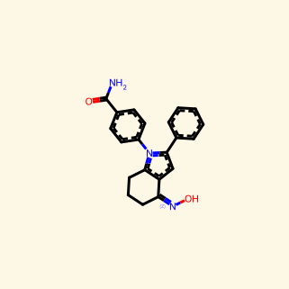 NC(=O)c1ccc(-n2c(-c3ccccc3)cc3c2CCC/C3=N/O)cc1